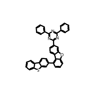 c1ccc(-c2nc(-c3ccccc3)nc(-c3ccc4c(c3)oc3cccc(-c5ccc6c(c5)sc5ccccc56)c34)n2)cc1